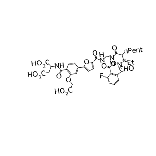 CCCCCC(C(=O)NCNC(=O)c1ccc(-c2ccc(C(=O)NC(CC(=O)O)C(=O)O)c(OCC(=O)O)c2)o1)[C@@H](CC)N(C=O)OC(=O)c1c(C)cccc1F